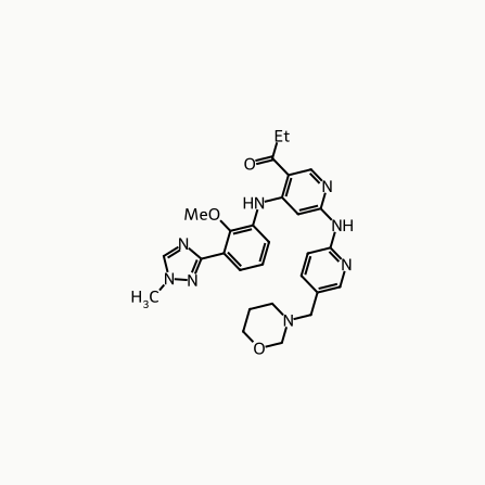 CCC(=O)c1cnc(Nc2ccc(CN3CCCOC3)cn2)cc1Nc1cccc(-c2ncn(C)n2)c1OC